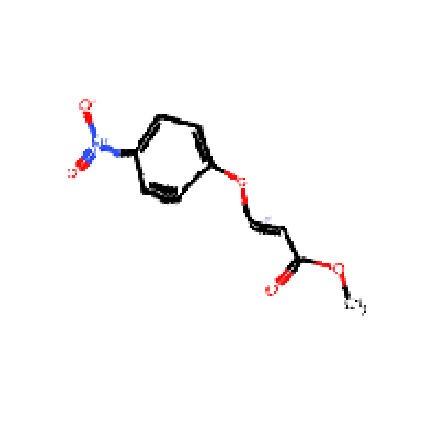 COC(=O)/C=C/Oc1ccc([N+](=O)[O-])cc1